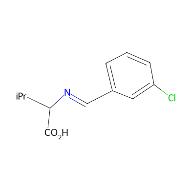 CC(C)C(N=Cc1cccc(Cl)c1)C(=O)O